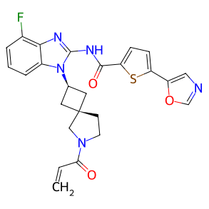 C=CC(=O)N1CC[C@]2(C1)C[C@H](n1c(NC(=O)c3ccc(-c4cnco4)s3)nc3c(F)cccc31)C2